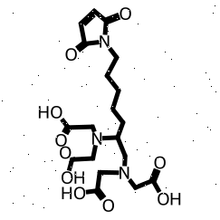 O=C(O)CN(CC(=O)O)CC(CCCCCN1C(=O)C=CC1=O)N(CC(=O)O)CC(=O)O